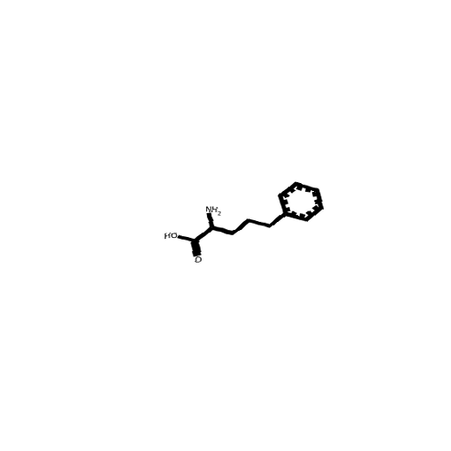 NC(CCCc1ccccc1)C(=O)O